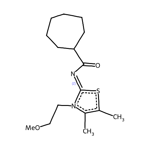 COCCn1c(C)c(C)s/c1=N\C(=O)C1CCCCCC1